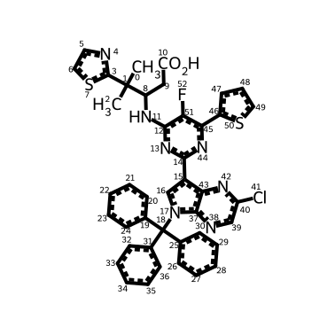 CC(C)(c1nccs1)C(CC(=O)O)Nc1nc(-c2cn(C(c3ccccc3)(c3ccccc3)c3ccccc3)c3ncc(Cl)nc23)nc(-c2cccs2)c1F